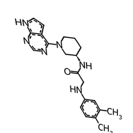 Cc1ccc(NCC(=O)N[C@@H]2CCCN(c3ncnc4[nH]ccc34)C2)cc1C